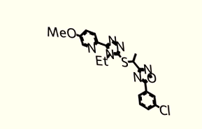 CCn1c(SC(C)c2noc(-c3cccc(Cl)c3)n2)nnc1-c1ccc(OC)cn1